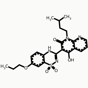 CCCOc1ccc2c(c1)S(=O)(=O)N=C(c1c(O)c3cccnc3n(CCC(C)C)c1=O)N2